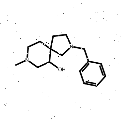 CN1CCC2(CCN(Cc3ccccc3)C2)C(O)C1